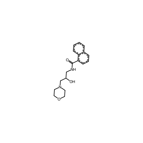 O=C(NCC(O)CN1CCOCC1)c1cccc2ccccc12